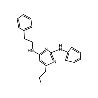 CCCc1cc(NCCc2ccccc2)nc(Nc2ccccc2)n1